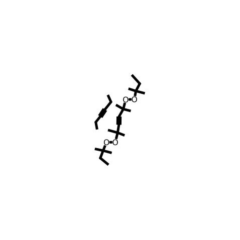 CCC#CCC.CCC(C)(C)OOC(C)(C)C#CC(C)(C)OOC(C)(C)CC